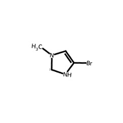 CN1[C]NC(Br)=C1